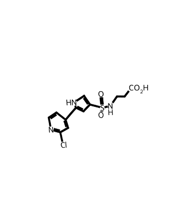 O=C(O)CCNS(=O)(=O)c1c[nH]c(-c2ccnc(Cl)c2)c1